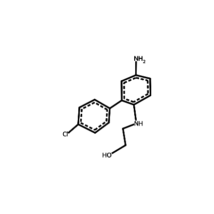 Nc1ccc(NCCO)c(-c2ccc(Cl)cc2)c1